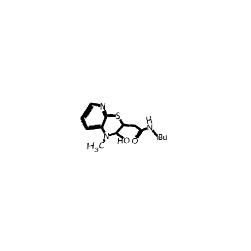 CCC(C)NC(=O)CC1Sc2ncccc2N(C)C1O